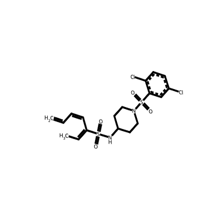 C=C/C=C\C(=C/C)S(=O)(=O)NC1CCN(S(=O)(=O)c2cc(Cl)ccc2Cl)CC1